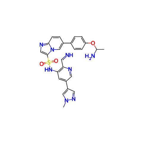 CC(N)Oc1ccc(-c2ccc3ncc(S(=O)(=O)Nc4cc(-c5cnn(C)c5)cnc4C=N)n3c2)cc1